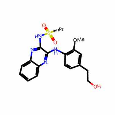 CCCS(=O)(=O)Nc1nc2ccccc2nc1Nc1ccc(CCO)cc1OC